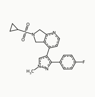 Cn1cc(-c2ccnc3c2CN(S(=O)(=O)C2CC2)C3)c(-c2ccc(F)cc2)n1